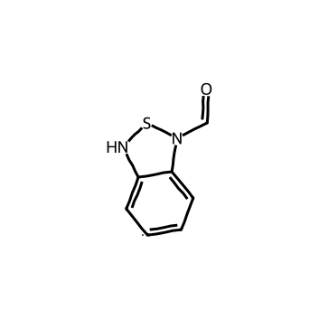 O=CN1SNc2c[c]ccc21